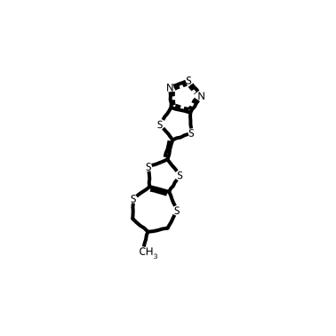 CC1CSC2=C(SC1)SC(=C1Sc3nsnc3S1)S2